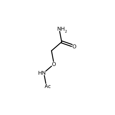 CC(=O)NOCC(N)=O